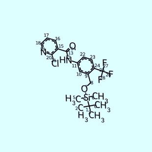 CC(C)(C)[Si](C)(C)OCc1cc(NC(=O)c2cccnc2Cl)ccc1C(F)(F)F